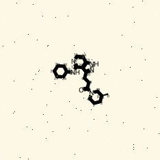 C[C@H]1CCCN(C(=O)CCc2n[nH]c3ccnc(NC4CCCCC4)c23)C1